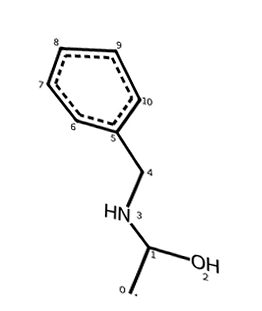 [CH2]C(O)NCc1ccccc1